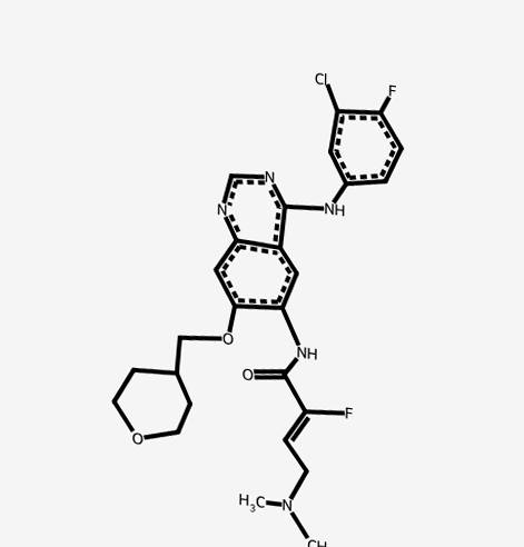 CN(C)C/C=C(\F)C(=O)Nc1cc2c(Nc3ccc(F)c(Cl)c3)ncnc2cc1OCC1CCOCC1